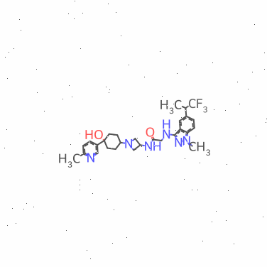 Cc1ccc(C2(O)CCC(N3CC(NC(=O)CNc4nn(C)c5ccc(C(C)C(F)(F)F)cc45)C3)CC2)cn1